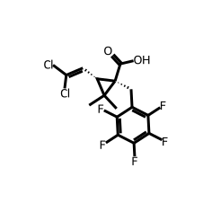 CC1(C)[C@H](C=C(Cl)Cl)[C@@]1(Cc1c(F)c(F)c(F)c(F)c1F)C(=O)O